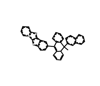 CC1(c2ccc3ccccc3c2)c2ccccc2C(c2ccc3sc4c(nc5ccccn54)c3c2)=C2C=CC=CC21